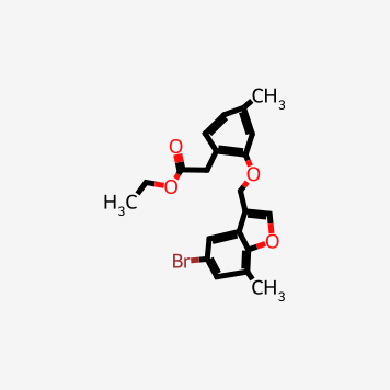 CCOC(=O)Cc1ccc(C)cc1OCc1coc2c(C)cc(Br)cc12